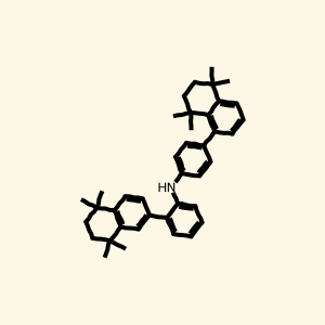 CC1(C)CCC(C)(C)c2cc(-c3ccccc3Nc3ccc(-c4cccc5c4C(C)(C)CCC5(C)C)cc3)ccc21